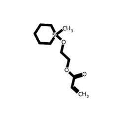 C=CC(=O)OCCO[Si]1(C)CCCCC1